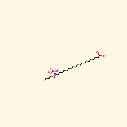 CCCCON(CCCCCCCCCCCCCCCCCCCC(=O)O)P(=O)(O)O